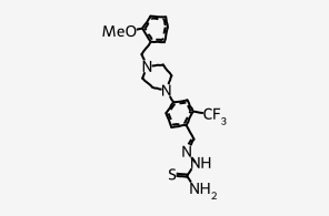 COc1ccccc1CN1CCN(c2ccc(/C=N/NC(N)=S)c(C(F)(F)F)c2)CC1